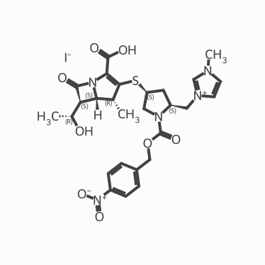 C[C@@H](O)[C@H]1C(=O)N2C(C(=O)O)=C(S[C@H]3C[C@@H](C[n+]4ccn(C)c4)N(C(=O)OCc4ccc([N+](=O)[O-])cc4)C3)[C@H](C)[C@H]12.[I-]